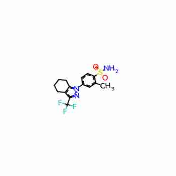 Cc1cc(-n2nc(C(F)(F)F)c3c2CCCC3)ccc1S(N)(=O)=O